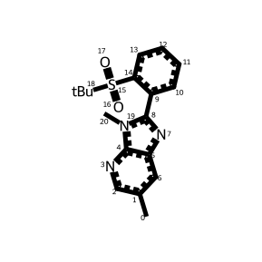 Cc1cnc2c(c1)nc(-c1ccccc1S(=O)(=O)C(C)(C)C)n2C